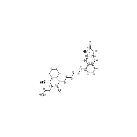 CCCC(C1CCCCC1)N(CCO)C(=O)CCCCCCOc1cccc2c1N=C1NC(=O)CN1C2